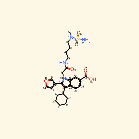 CN(CCCCNC(=O)Cn1c(-c2ccoc2)c(C2CCCCC2)c2ccc(C(=O)O)cc21)S(N)(=O)=O